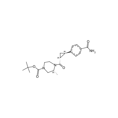 C[C@@H]1CN(C(=O)OC(C)(C)C)CCN1C(=O)[C@@H]1C[C@H]1c1ccc(C(N)=O)cc1